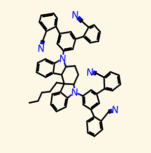 CCCCCC12c3ccccc3N(c3cc(-c4ccccc4C#N)cc(-c4ccccc4C#N)c3)C1CCC1C2c2ccccc2N1c1cc(-c2ccccc2C#N)cc(-c2ccccc2C#N)c1